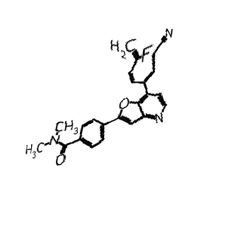 C=C(F)/C=C\C(=C/CC#N)c1ccnc2cc(-c3ccc(C(=O)N(C)C)cc3)oc12